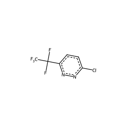 FC(F)(F)C(F)(F)c1ccc(Cl)nn1